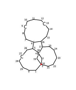 C1CCCCC([C]2CCCCCCCCCC2C2CCCCCCCC2)CCCC1